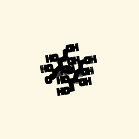 O=C[C@@H](O)[C@@H](O)[C@H](O)[C@H](O)CO.OC[C@@H](O)[C@@H](O)[C@H](O)[C@H](O)CO